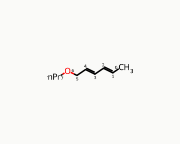 C/C=C/C=C/CO[CH]CC